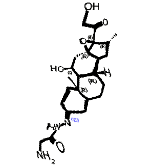 C[C@@H]1CC2[C@@H]3CCC4=C/C(=N/NC(=O)CN)C=C[C@]4(C)C3[C@@H](O)C[C@@]23O[C@]13C(=O)CO